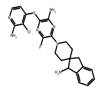 Nc1nc(N2CCC3(CC2)Cc2ccccc2C3N)c(F)nc1Sc1ccnc(N)c1Cl